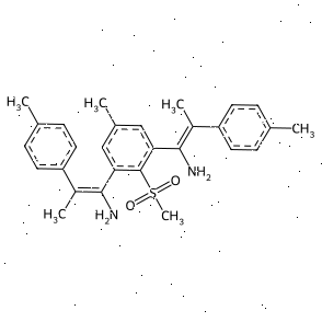 CC(=C(N)c1cc(C)cc(C(N)=C(C)c2ccc(C)cc2)c1S(C)(=O)=O)c1ccc(C)cc1